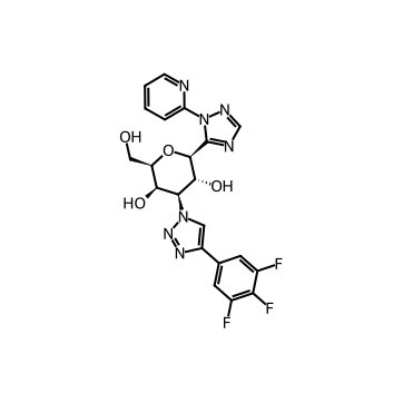 OC[C@H]1O[C@@H](c2ncnn2-c2ccccn2)[C@H](O)[C@@H](n2cc(-c3cc(F)c(F)c(F)c3)nn2)[C@H]1O